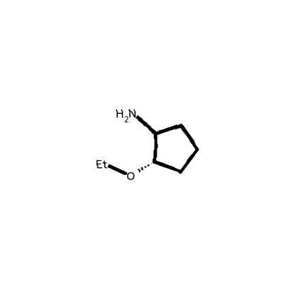 CCO[C@H]1CCCC1N